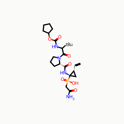 C=C[C@@H]1C[C@]1(NC(=O)[C@@H]1CCCN1C(=O)C(NC(=O)OC1CCCC1)C(C)(C)C)P(=O)(O)CC(N)=O